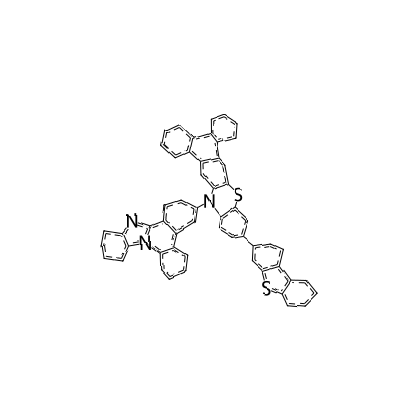 c1ccc2c(c1)nc1c3ccc(N4c5ccc(-c6ccc7c(c6)sc6ccccc67)cc5Sc5cc6c7ccccc7c7ccccc7c6cc54)cc3c3ccccc3n21